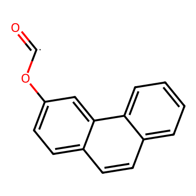 O=[C]Oc1ccc2ccc3ccccc3c2c1